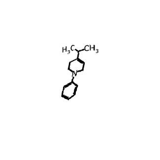 CC(C)C1=CCN(c2ccccc2)CC1